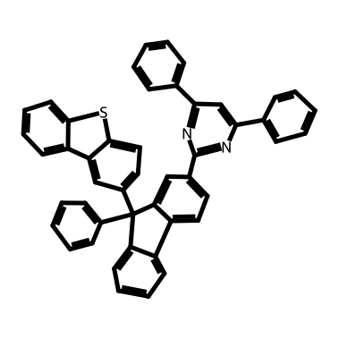 c1ccc(-c2cc(-c3ccccc3)nc(-c3ccc4c(c3)C(c3ccccc3)(c3ccc5sc6ccccc6c5c3)c3ccccc3-4)n2)cc1